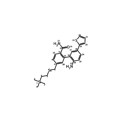 C[Si](C)(C)CCSCc1ccc(C(N)=O)c(-c2cc(-c3cccs3)ccc2N)c1